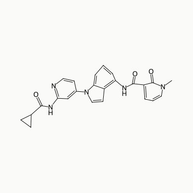 Cn1cccc(C(=O)Nc2cccc3c2ccn3-c2ccnc(NC(=O)C3CC3)c2)c1=O